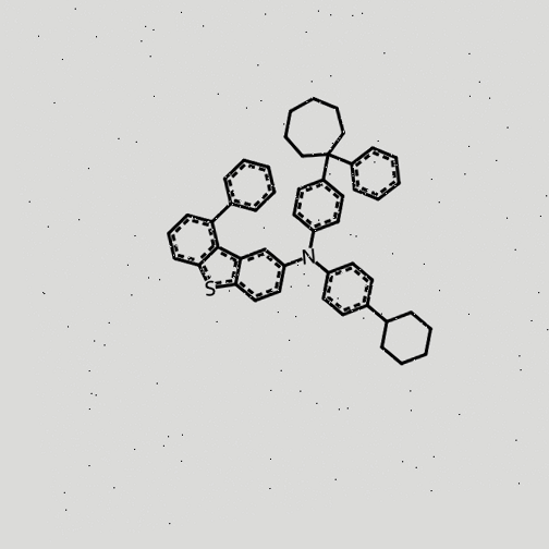 c1ccc(-c2cccc3sc4ccc(N(c5ccc(C6CCCCC6)cc5)c5ccc(C6(c7ccccc7)CCCCCC6)cc5)cc4c23)cc1